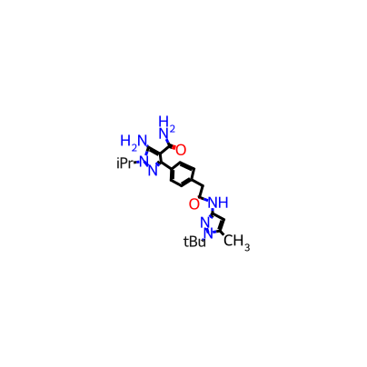 Cc1cc(NC(=O)Cc2ccc(-c3nn(C(C)C)c(N)c3C(N)=O)cc2)nn1C(C)(C)C